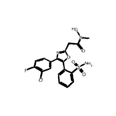 CN(O)C(=O)Cc1nc(-c2ccc(F)c(Cl)c2)c(-c2ccccc2S(N)(=O)=O)o1